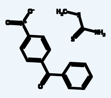 CSC(N)=S.O=C(c1ccccc1)c1ccc([N+](=O)[O-])cc1